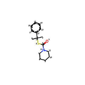 CC(C)(SC(=O)N1CCCCC1)c1ccccc1